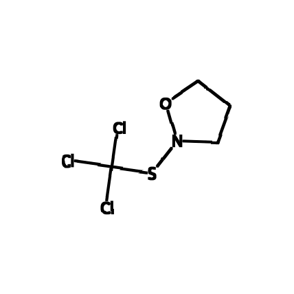 ClC(Cl)(Cl)SN1CCCO1